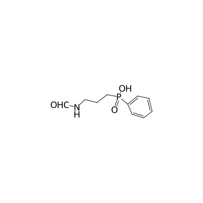 O=CNCCCP(=O)(O)c1ccccc1